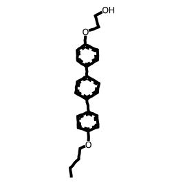 CCCCOc1ccc(-c2ccc(-c3ccc(OCCO)cc3)cc2)cc1